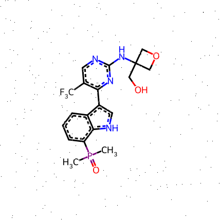 CP(C)(=O)c1cccc2c(-c3nc(NC4(CO)COC4)ncc3C(F)(F)F)c[nH]c12